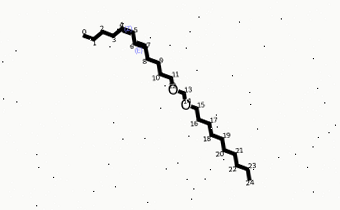 CCCC/C=C\C=C\CCCCOCOCCCCCCCCCC